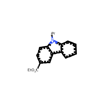 CCOC(=O)c1ccc2c(c1)c1ccccc1n2C(C)C